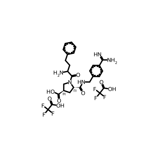 N=C(N)c1ccc(CNC(=O)[C@@H]2C[C@@H](C(=O)O)CN2C(=O)C(N)CCc2ccccc2)cc1.O=C(O)C(F)(F)F.O=C(O)C(F)(F)F